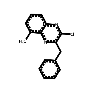 Cc1cccc2nc(Cl)c(Cc3ccccc3)nc12